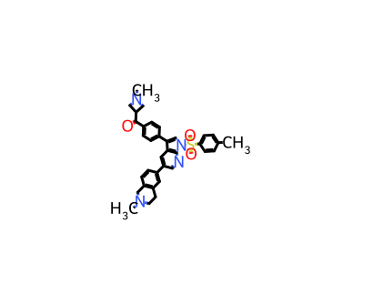 Cc1ccc(S(=O)(=O)n2cc(-c3ccc(C(=O)C4CN(C)C4)cc3)c3cc(-c4ccc5c(c4)CCN(C)C5)cnc32)cc1